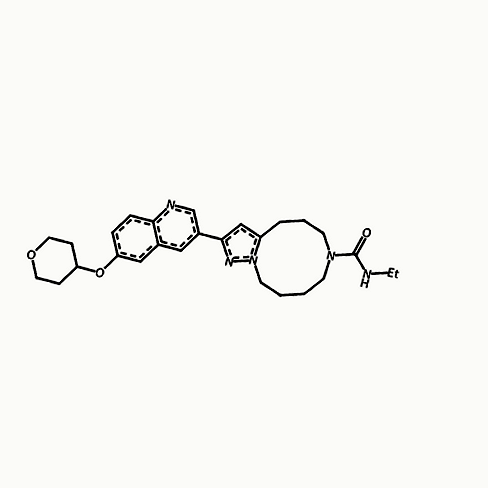 CCNC(=O)N1CCCCn2nc(-c3cnc4ccc(OC5CCOCC5)cc4c3)cc2CCC1